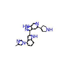 Cc1cn(-c2cccc3[nH]c(-c4n[nH]c5cnc(C6=CCNCC6)cc45)cc23)cn1